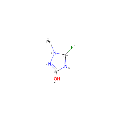 CC(C)n1nc(O)nc1F